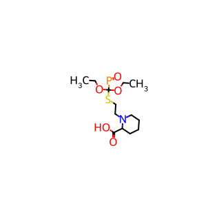 CCOC(OCC)(P=O)SCCN1CCCCC1C(=O)O